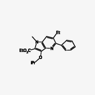 CCOC(=O)c1c(OC(C)C)c2nc(-c3ccccc3)c(CC)cc2n1C